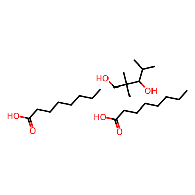 CC(C)C(O)C(C)(C)CO.CCCCCCCC(=O)O.CCCCCCCC(=O)O